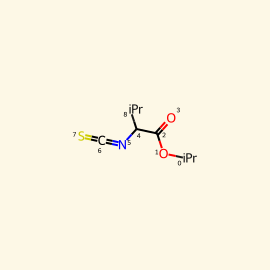 CC(C)OC(=O)C(N=C=S)C(C)C